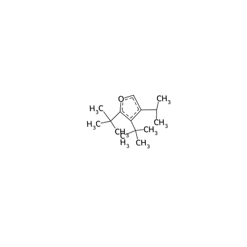 CC(C)c1coc(C(C)(C)C)c1C(C)(C)C